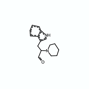 O=CC(Cc1c[nH]c2ccccc12)N1CCCCC1